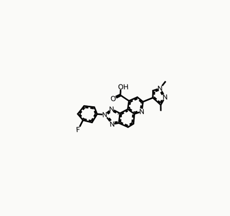 Cc1nn(C)cc1-c1cc(C(=O)O)c2c(ccc3nn(-c4cccc(F)c4)nc32)n1